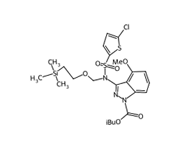 COc1cccc2c1c(N(COCC[Si](C)(C)C)S(=O)(=O)c1ccc(Cl)s1)nn2C(=O)OCC(C)C